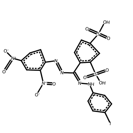 O=[N+]([O-])c1ccc(/N=N/C(=N/Nc2ccc(I)cc2)c2ccc(S(=O)(=O)O)cc2S(=O)(=O)O)c([N+](=O)[O-])c1